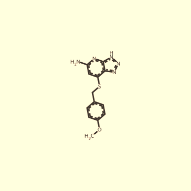 COc1ccc(CSc2cc(N)nc3[nH]nnc23)cc1